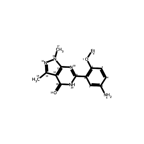 CCOc1ccc(N)cc1-c1nc2c(c(C)nn2C)c(=O)[nH]1